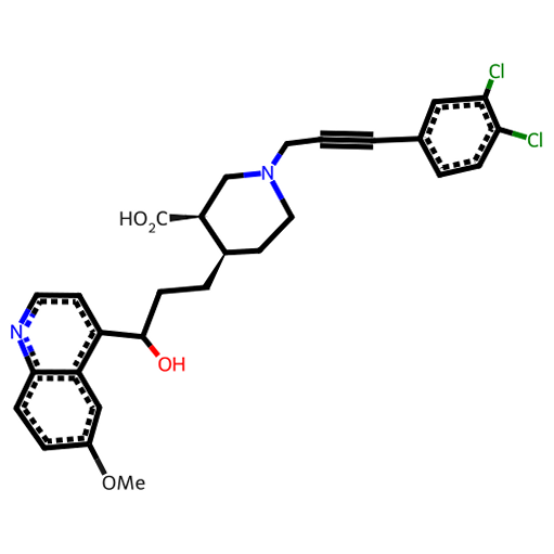 COc1ccc2nccc(C(O)CC[C@@H]3CCN(CC#Cc4ccc(Cl)c(Cl)c4)C[C@@H]3C(=O)O)c2c1